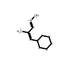 CC(C=NO)=CC1CCCCC1